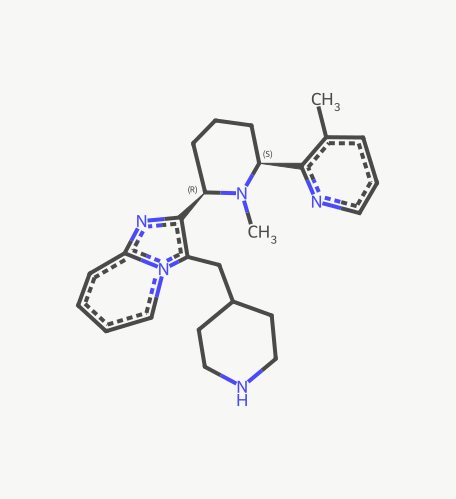 Cc1cccnc1[C@@H]1CCC[C@H](c2nc3ccccn3c2CC2CCNCC2)N1C